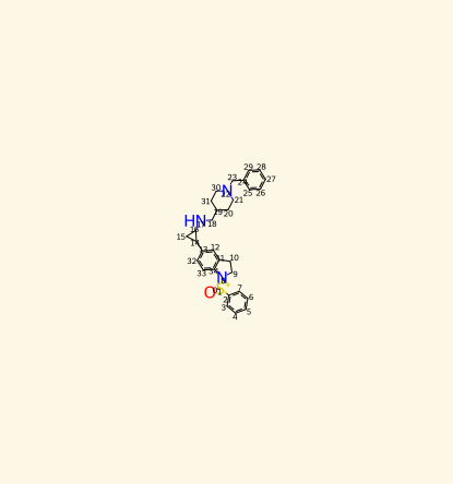 [O-][S+](c1ccccc1)N1CCc2cc(C3CC3NCC3CCN(Cc4ccccc4)CC3)ccc21